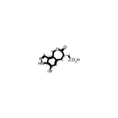 O=C(O)C[C@@H]1Cc2cc(Br)c3[nH]ncc3c2COC1=O